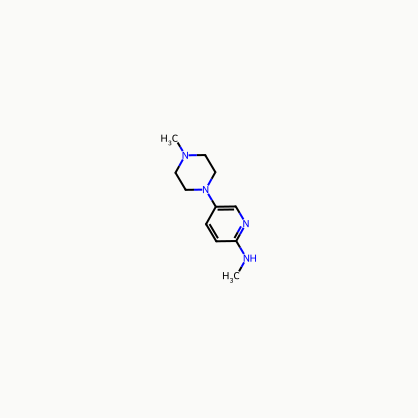 CNc1ccc(N2CCN(C)CC2)cn1